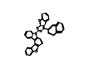 c1ccc2cc(-c3nc(-n4c5ccccc5c5c6c(ccc54)sc4ccccc46)nc4sc5ccccc5c34)ccc2c1